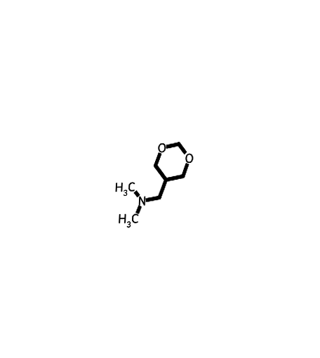 CN(C)CC1COCOC1